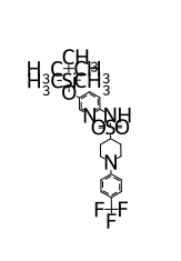 CC(C)(C)[Si](C)(C)Oc1ccc(NS(=O)(=O)C2CCN(c3ccc(C(F)(F)F)cc3)CC2)nc1